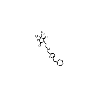 CC1(C)NC(=O)N(CCNCc2ccc(CN3CCCCC3)o2)C1=O